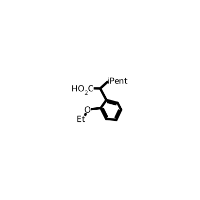 CCCC(C)C(C(=O)O)c1ccccc1OCC